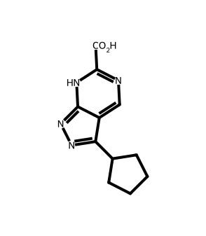 O=C(O)c1ncc2c(C3CCCC3)nnc-2[nH]1